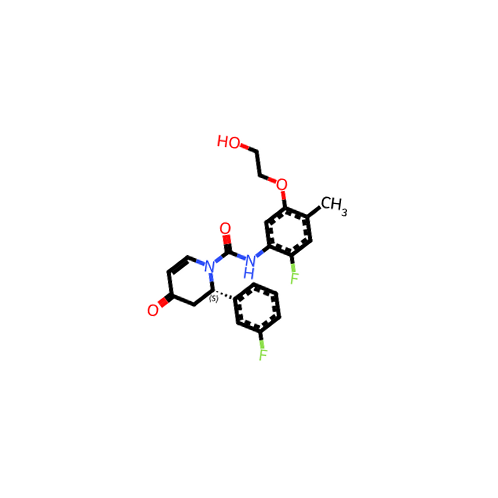 Cc1cc(F)c(NC(=O)N2C=CC(=O)C[C@H]2c2cccc(F)c2)cc1OCCO